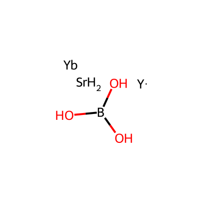 OB(O)O.[SrH2].[Y].[Yb]